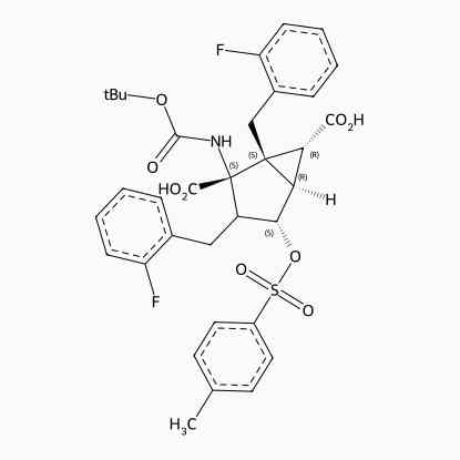 Cc1ccc(S(=O)(=O)O[C@@H]2C(Cc3ccccc3F)[C@@](NC(=O)OC(C)(C)C)(C(=O)O)[C@@]3(Cc4ccccc4F)[C@H]2[C@H]3C(=O)O)cc1